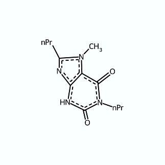 CCCc1nc2[nH]c(=O)n(CCC)c(=O)c2n1C